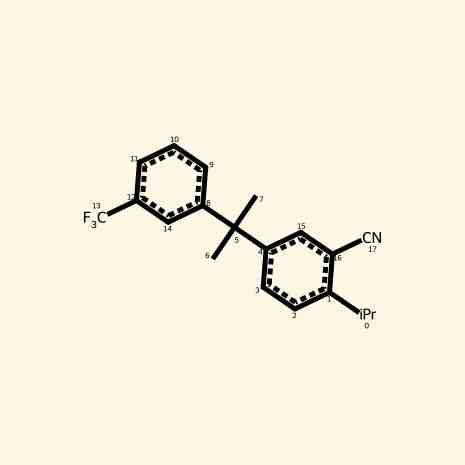 CC(C)c1ccc(C(C)(C)c2cccc(C(F)(F)F)c2)cc1C#N